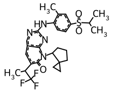 Cc1cc(S(=O)(=O)C(C)C)ccc1Nc1ncc2cc(C(C)C(F)(F)F)c(=O)n(C3CCCC34CC4)c2n1